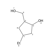 CCC1CC(O)C(CO)C1